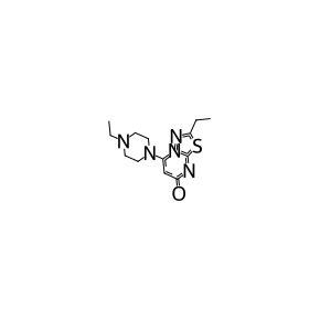 CCc1nn2c(N3CCN(CC)CC3)cc(=O)nc2s1